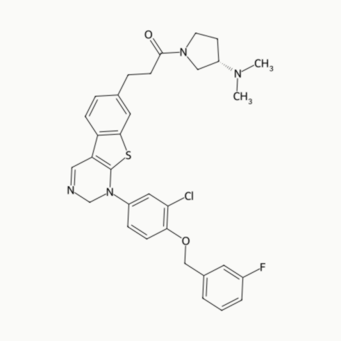 CN(C)[C@H]1CCN(C(=O)CCc2ccc3c4c(sc3c2)N(c2ccc(OCc3cccc(F)c3)c(Cl)c2)CN=C4)C1